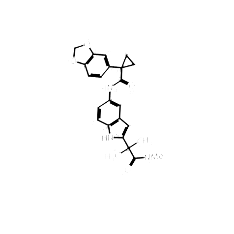 CNC(=O)C(C)(C)c1cc2cc(NC(=O)C3(c4ccc5c(c4)OCO5)CC3)ccc2[nH]1